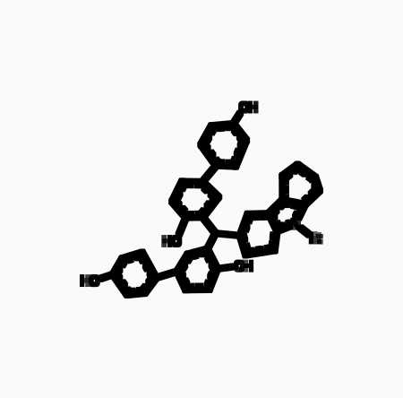 CCn1c2ccccc2c2cc(C(c3cc(-c4ccc(O)cc4)ccc3O)c3cc(-c4ccc(O)cc4)ccc3O)ccc21